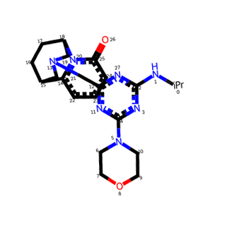 CC(C)Nc1nc(N2CCOCC2)nc(N2CC3CCC(C2)n2c3cccc2=O)n1